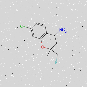 CC1(CF)CC(N)c2ccc(Cl)cc2O1